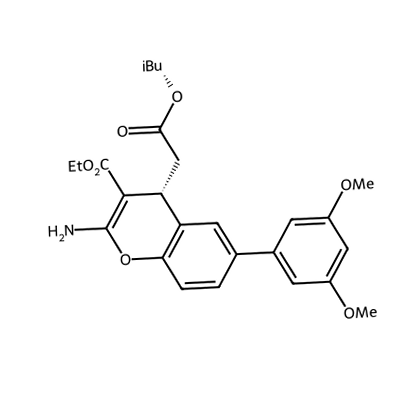 CCOC(=O)C1=C(N)Oc2ccc(-c3cc(OC)cc(OC)c3)cc2[C@H]1CC(=O)O[C@@H](C)CC